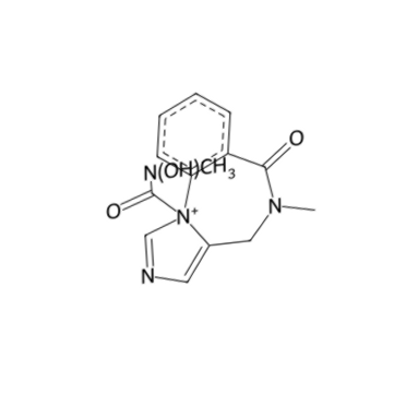 CN(O)C(=O)[N+]12C=NC=C1CN(C)C(=O)c1ccccc12